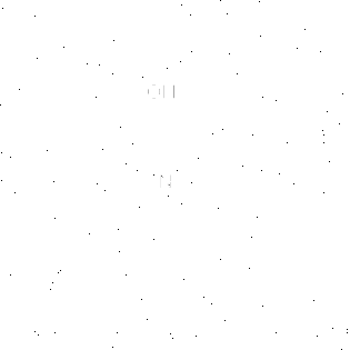 OC1CCN(C2CCCC2)C1